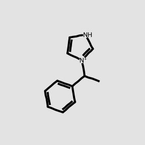 CC(c1ccccc1)[n+]1cc[nH]c1